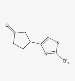 O=C1CCC(c2csc(C(F)(F)F)n2)C1